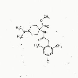 COC(=O)C1(NC(=O)Cc2c(C)cc(Cl)cc2C)CCN(N(C)C)CC1